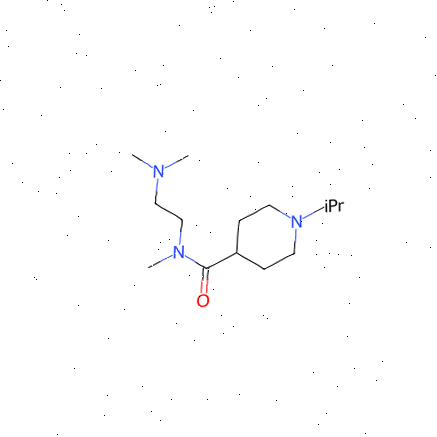 CC(C)N1CCC(C(=O)N(C)CCN(C)C)CC1